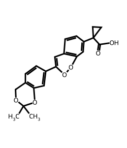 CC1(C)OCc2ccc(C3=Cc4ccc(C5(C(=O)O)CC5)cc4OO3)cc2O1